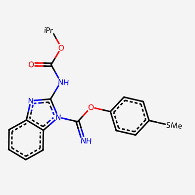 CSc1ccc(OC(=N)n2c(NC(=O)OC(C)C)nc3ccccc32)cc1